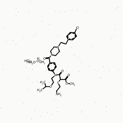 COC(=O)C(SCCN)C(=O)N(CCOC(C)C)c1ccc(C(=O)N2CCN(CCc3ccc(Cl)cc3)CC2)cc1.Cl.Cl.O.O.O